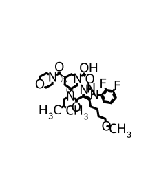 COCCCCc1c(C(=O)N(CC(C)C)[C@H]2C[C@@H](C(=O)N3CCOCC3)CN(C(=O)O)C2)nnn1-c1cccc(F)c1F